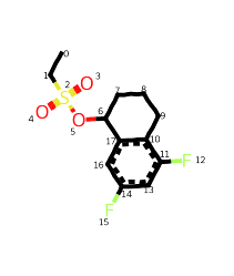 CCS(=O)(=O)OC1CCCc2c(F)cc(F)cc21